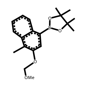 COCOc1cc(B2OC(C)(C)C(C)(C)O2)c2ccccc2c1C